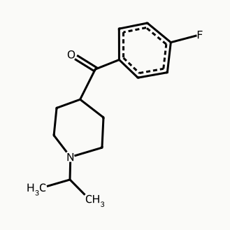 CC(C)N1CCC(C(=O)c2ccc(F)cc2)CC1